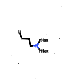 [Li][CH2]CCN(CCCCCC)CCCCCC